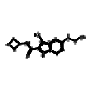 CCCCSNc1ccc2[nH]c(C(=O)NC3COC3)c(C)c2c1